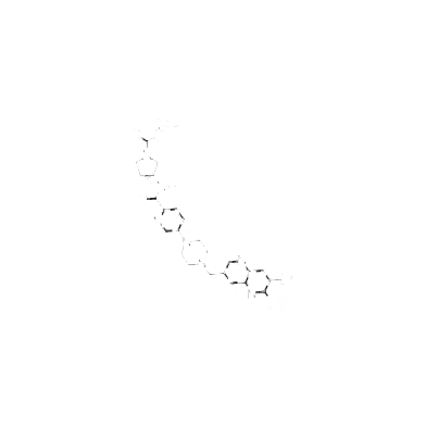 CCc1cc2ncc(CN3CCN(c4ccc(C(=O)N[C@@H]5CCN(C(=O)OC(C)(C)C)C5)nc4)CC3)cc2[nH]c1=O